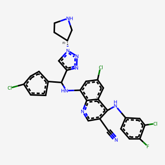 N#Cc1cnc2c(NC(c3ccc(Cl)cc3)c3cn([C@@H]4CCNC4)nn3)cc(Cl)cc2c1Nc1ccc(F)c(Cl)c1